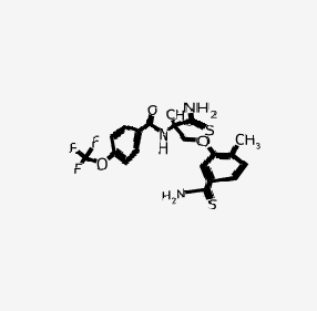 Cc1ccc(C(N)=S)cc1OCC(C)(NC(=O)c1ccc(OC(F)(F)F)cc1)C(N)=S